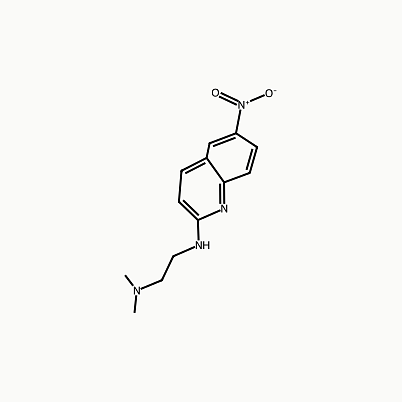 CN(C)CCNc1ccc2cc([N+](=O)[O-])ccc2n1